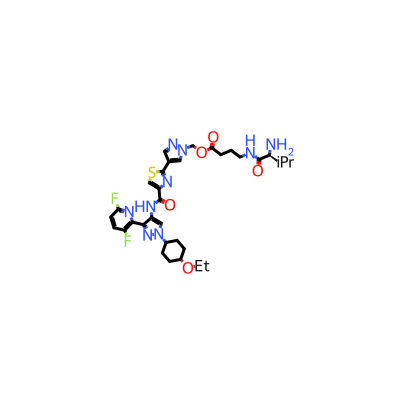 CCOC1CCC(n2cc(NC(=O)c3csc(-c4cnn(COC(=O)CCCNC(=O)[C@@H](N)C(C)C)c4)n3)c(-c3nc(F)ccc3F)n2)CC1